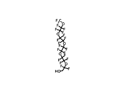 OCC(F)(F)OC(F)(F)C(F)(F)OC(F)(F)C(F)(F)OC(F)(F)C(F)(F)OC(F)(F)C(F)(F)OC(F)(F)F